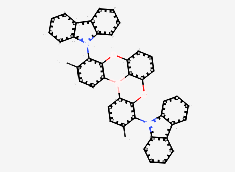 N#Cc1ccc2c(c1-n1c3ccccc3c3ccccc31)Oc1cccc3c1B2c1ccc(C#N)c(-n2c4ccccc4c4ccccc42)c1O3